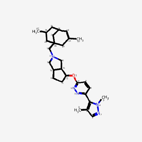 Cc1cnn(C)c1-c1ccc(OC2CCC3CN(CC45CC(C)CC(CC(C)C4)C5)CC32)nn1